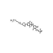 CCCCCOCC1CCC(c2cc(F)c(C(F)(F)Oc3cc(F)c(O/C=C/C(F)(F)F)c(F)c3)c(F)c2)OC1